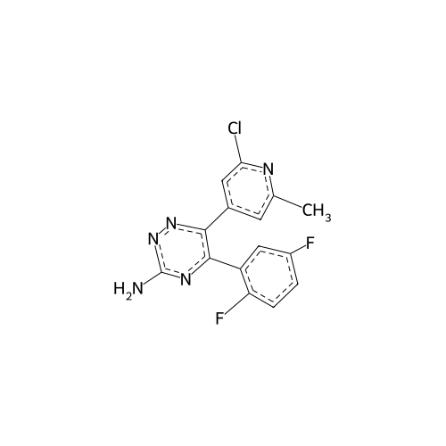 Cc1cc(-c2nnc(N)nc2-c2cc(F)ccc2F)cc(Cl)n1